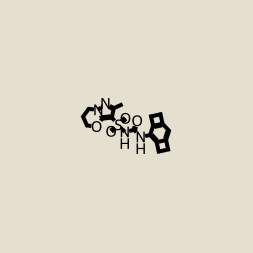 Cc1nn2c(c1S(=O)(=O)NC(=O)Nc1c3c(cc4c1CC4)CC3)OCCC2